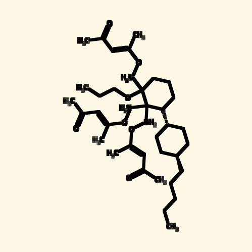 CCCCC[C@H]1CC[C@H](C2CCCC(OCCC)([SiH2]OC(C)=CC(C)=O)C2([SiH2]OC(C)=CC(C)=O)[SiH2]OC(C)=CC(C)=O)CC1